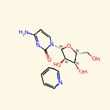 Nc1ccn([C@@H]2O[C@H](CO)[C@@H](O)[C@H]2O)c(=O)n1.c1ccncc1